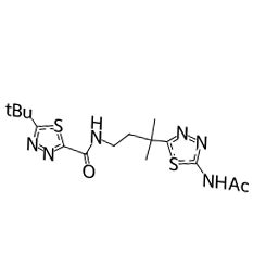 CC(=O)Nc1nnc(C(C)(C)CCNC(=O)c2nnc(C(C)(C)C)s2)s1